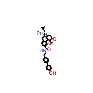 CCN(CC1CC1)[C@@H]1Cc2ccc(C(=O)NCCc3ccc(-c4ccc(O)cc4)cc3)c3c2C2[C@H]1CCC(=O)[C@@H]2O3